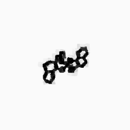 S=P(OCl)(Oc1c(Cl)ccc2ccccc12)Oc1c(Cl)ccc2ccccc12